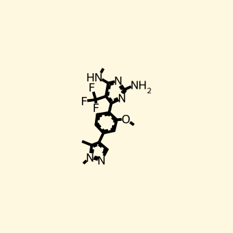 CNc1nc(N)nc(-c2ccc(-c3cnn(C)c3C)cc2OC)c1C(F)(F)F